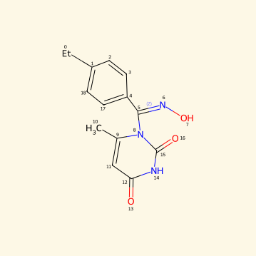 CCc1ccc(/C(=N/O)n2c(C)cc(=O)[nH]c2=O)cc1